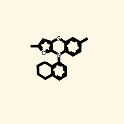 Cc1ccc2c(c1)Sc1cc(C)oc1N2c1cccc2c1CCCC2